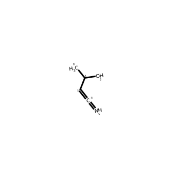 CC(O)C=C=N